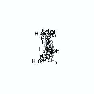 COC(=O)CCC(C)[C@H]1CC[C@H]2[C@@H]3[C@H](O)C[C@@H]4C[C@@H](NC(=O)C(CCC(=O)O)NC(=O)OC(C)(C)C)CC[C@]4(C)[C@H]3C[C@H](O)[C@]12C